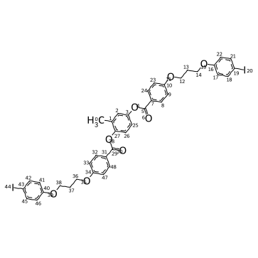 Cc1cc(OC(=O)c2ccc(OCCCOc3ccc(I)cc3)cc2)ccc1OC(=O)c1ccc(OCCCOc2ccc(I)cc2)cc1